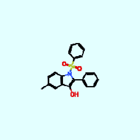 Cc1ccc2c(c1)c(O)c(-c1ccccc1)n2S(=O)(=O)c1ccccc1